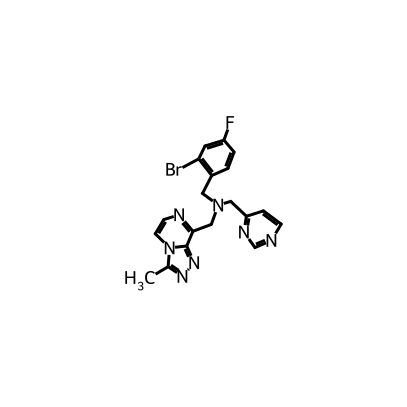 Cc1nnc2c(CN(Cc3ccncn3)Cc3ccc(F)cc3Br)nccn12